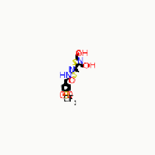 O=C(Cc1ccc(S(=O)(=O)C(F)(F)F)cc1)Nc1nc(-c2sc(CO)nc2CO)cs1